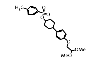 COC(COc1ccc(C2CCC(OS(=O)(=O)c3ccc(C)cc3)CC2)cc1)OC